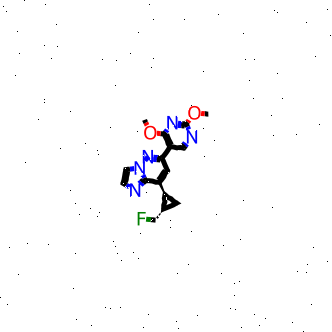 COc1ncc(-c2cc([C@H]3C[C@@H]3CF)c3nccn3n2)c(OC)n1